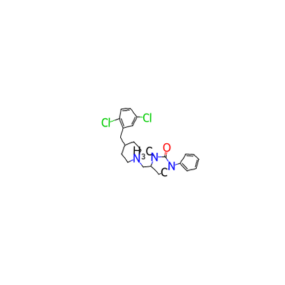 CN1C(=O)N(c2ccccc2)CCC1CN1CCC(Cc2cc(Cl)ccc2Cl)CC1